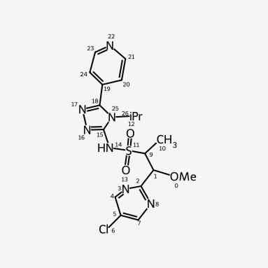 COC(c1ncc(Cl)cn1)C(C)S(=O)(=O)Nc1nnc(-c2ccncc2)n1C(C)C